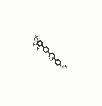 CCCC1C=CC(C2CCC(C3CCC(c4ccc(OCC)c(F)c4F)CC3)CO2)=CC1